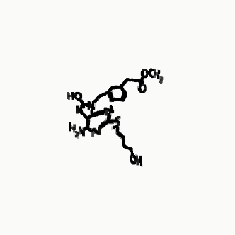 COC(=O)Cc1cccc(Cn2c(O)nc3c(N)nc(SCCCCO)nc32)c1